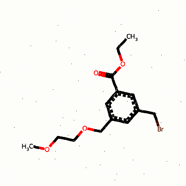 CCOC(=O)c1cc(CBr)cc(COCCOC)c1